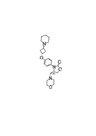 O=C1OC[C@@H](CN2CCOCC2)N1c1ccc(O[C@H]2C[C@H](N3CCCCC3)C2)cc1